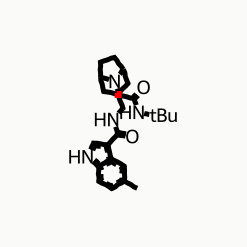 Cc1ccc2[nH]cc(C(=O)NCC3CC4CCC(C3)N4CC(=O)NC(C)(C)C)c2c1